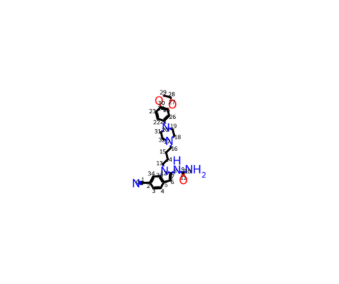 N#Cc1ccc2cc(NC(N)=O)n(CCCCN3CCN(c4ccc5c(c4)OCCO5)CC3)c2c1